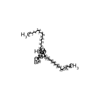 CCCCC/C=C\C/C=C\CCCCCCCC(=O)N[C@@H](CNC(=O)CBr)C(=O)OCCCCCCCCCCC/C=C\CCCCC